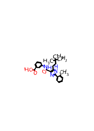 Cc1ccccc1-c1nc(C(=O)Nc2cccc(C(=O)O)c2)c(CCC(C)(C)C)[nH]1